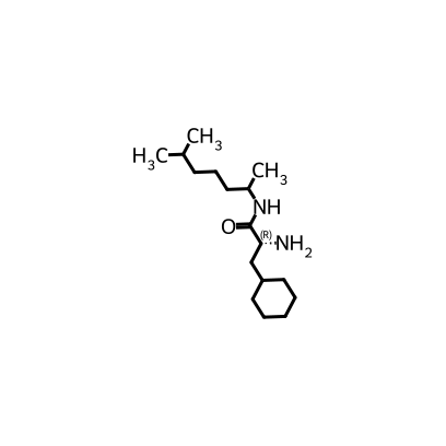 CC(C)CCCC(C)NC(=O)[C@H](N)CC1CCCCC1